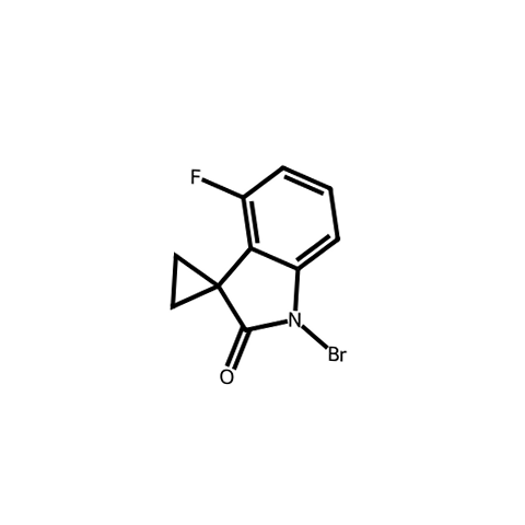 O=C1N(Br)c2cccc(F)c2C12CC2